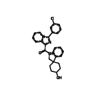 O=C(NCC1(c2ccccc2)CCC(O)CC1)c1nc(-c2cccc(Cl)c2)n2ccccc12